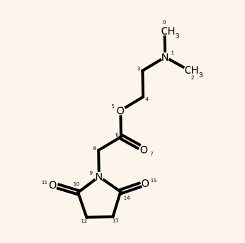 CN(C)CCOC(=O)CN1C(=O)CCC1=O